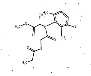 CCC(=O)SCC(=O)N(c1c(C)ccc(Cl)c1C)[C@@H](C)C(=O)OC